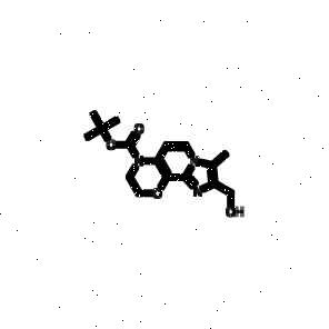 Cc1c(CO)nc2c3c(ccn12)N(C(=O)OC(C)(C)C)CCO3